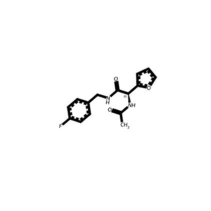 CC(=O)N[C@@H](C(=O)NCc1ccc(F)cc1)c1ccco1